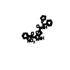 O=C(N[C@H](CN1CCCC1)c1ccccc1)c1cc2[nH]nc(NC(=O)c3ccccc3[N+](=O)[O-])c2o1